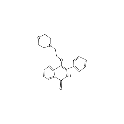 O=c1[nH]c(-c2ccccc2)c(OCCN2CCOCC2)c2ccccc12